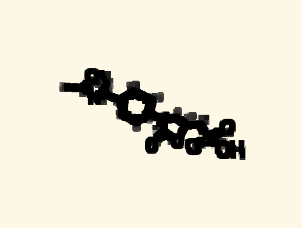 Cc1nc(-c2ccc(N3CC(CS(=O)(=O)O)OC3=O)cc2)no1